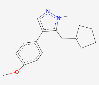 COc1ccc(-c2cnn(C)c2C[C]2CCCC2)cc1